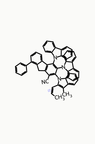 C/C=C\c1c(C)c2ccccc2n1-c1c(C#N)c2c(c(-n3c4ccccc4c4ccccc43)c1-n1c3ccccc3c3ccccc31)-c1cccc(-c3ccccc3)c1C2